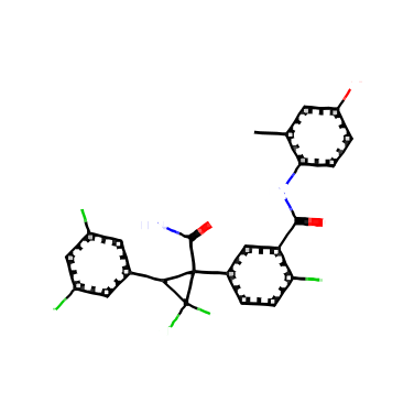 Cc1cc(O)ccc1NC(=O)c1cc(C2(C(N)=O)C(c3cc(Cl)cc(Cl)c3)C2(Cl)Cl)ccc1Cl